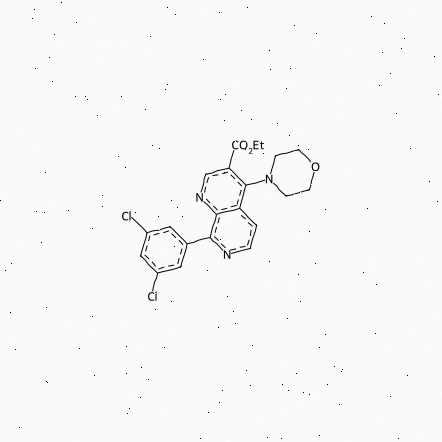 CCOC(=O)c1cnc2c(-c3cc(Cl)cc(Cl)c3)nccc2c1N1CCOCC1